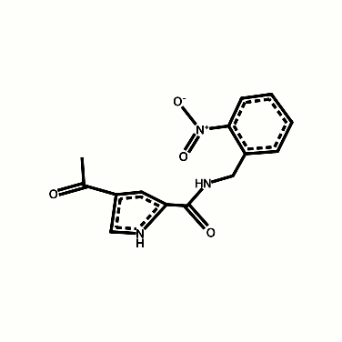 CC(=O)c1c[nH]c(C(=O)NCc2ccccc2[N+](=O)[O-])c1